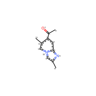 CC(=O)c1cc2nc(C)cn2cc1C